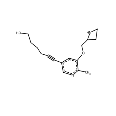 Cc1ncc(C#CCCCCO)cc1OCC1CCN1